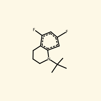 CC(C)(C)N1CCCc2c(F)cc(F)cc21